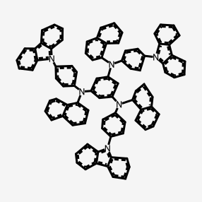 c1ccc2c(N(c3ccc(-n4c5ccccc5c5ccccc54)cc3)c3cc(N(c4ccc(-n5c6ccccc6c6ccccc65)cc4)c4cccc5ccccc45)cc(N(c4ccc(-n5c6ccccc6c6ccccc65)cc4)c4cccc5ccccc45)c3)cccc2c1